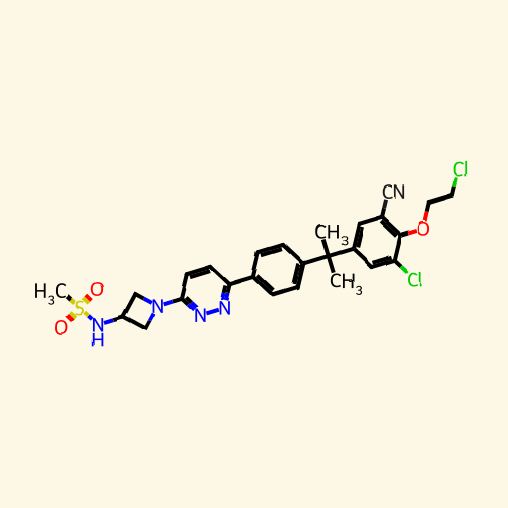 CC(C)(c1ccc(-c2ccc(N3CC(NS(C)(=O)=O)C3)nn2)cc1)c1cc(Cl)c(OCCCl)c(C#N)c1